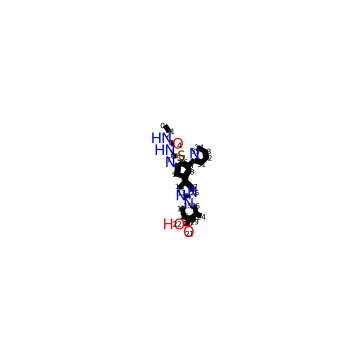 CCNC(=O)Nc1nc2cc(-c3cnc(N4CCC(C)(C(=O)O)C(C)C4)nc3)cc(-c3ccccn3)c2s1